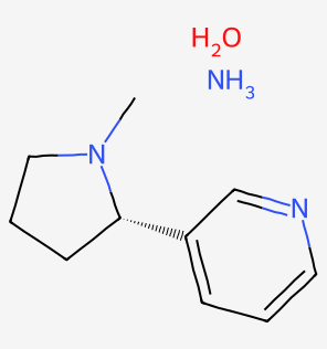 CN1CCC[C@H]1c1cccnc1.N.O